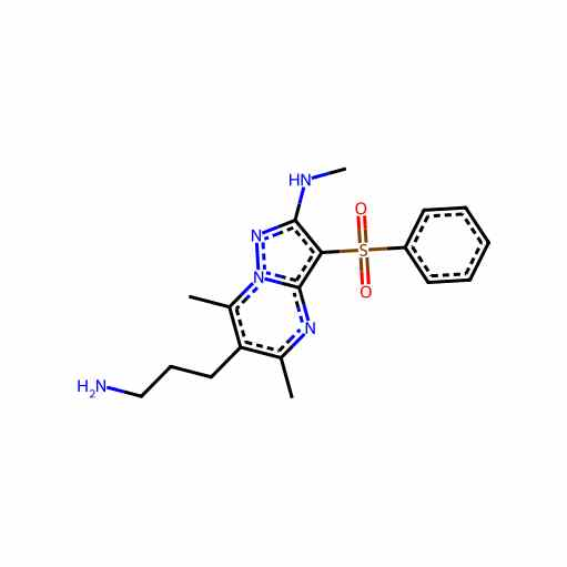 CNc1nn2c(C)c(CCCN)c(C)nc2c1S(=O)(=O)c1ccccc1